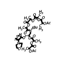 CC(=O)O[C@H](C)C(=O)O[C@H](C)C(=O)O[C@H](COc1nsnc1N1CCOCC1)CN(C(=O)[C@@H](C)OC(=O)[C@@H](C)OC(=O)[C@@H](C)OC(=O)[C@@H](C)OC(C)=O)C(C)(C)C